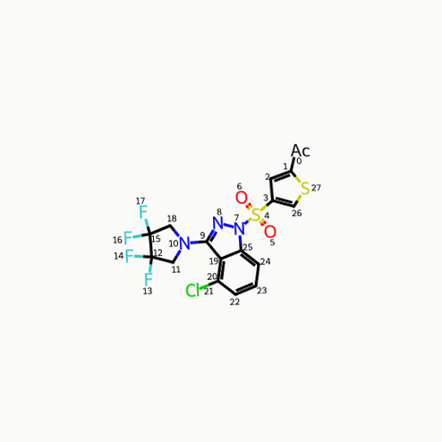 CC(=O)c1cc(S(=O)(=O)n2nc(N3CC(F)(F)C(F)(F)C3)c3c(Cl)cccc32)cs1